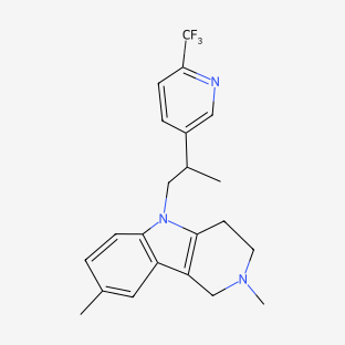 Cc1ccc2c(c1)c1c(n2CC(C)c2ccc(C(F)(F)F)nc2)CCN(C)C1